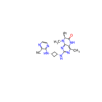 Cc1nc(N[C@H]2C[C@@H](Nc3nccnc3C#N)C2)nc2c1NC(=O)[C@H](C(C)C)N2C